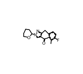 Cc1c(F)ccc2c1C(=O)c1cn(C3CCCCO3)nc1C2